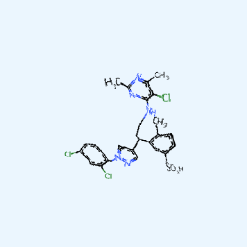 Cc1nc(C)c(Cl)c(NCC(c2cnn(-c3ccc(Cl)cc3Cl)c2)c2cc(S(=O)(=O)O)ccc2C)n1